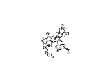 COCC(=O)Nc1cccc2c1C(=O)N(CC(=O)O[C@@H](Cc1c(Cl)c[n+]([O-])cc1Cl)c1ccc(OC(F)F)c(OCC3CC3)c1)C2=O